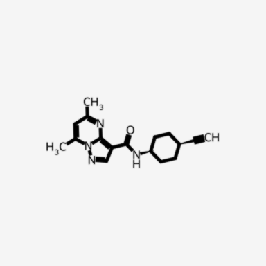 C#C[C@H]1CC[C@@H](NC(=O)c2cnn3c(C)cc(C)nc23)CC1